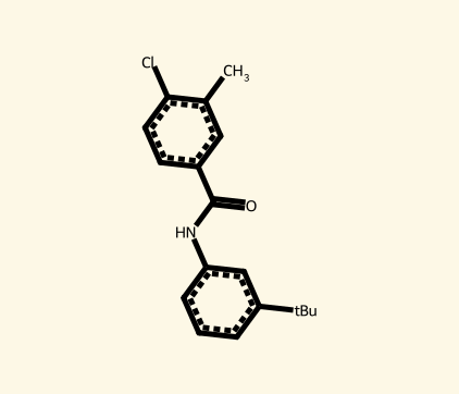 Cc1cc(C(=O)Nc2cccc(C(C)(C)C)c2)ccc1Cl